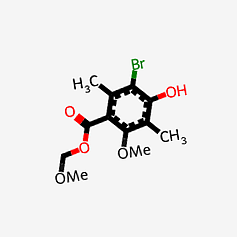 COCOC(=O)c1c(C)c(Br)c(O)c(C)c1OC